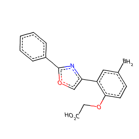 Bc1ccc(OCC(=O)O)c(-c2coc(-c3ccccc3)n2)c1